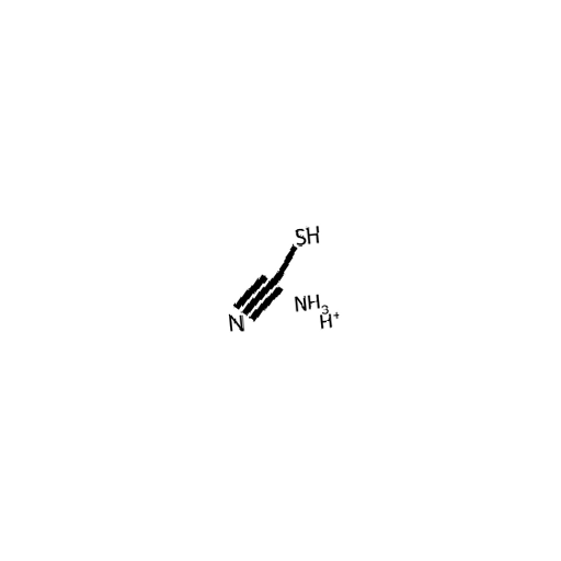 N.N#CS.[H+]